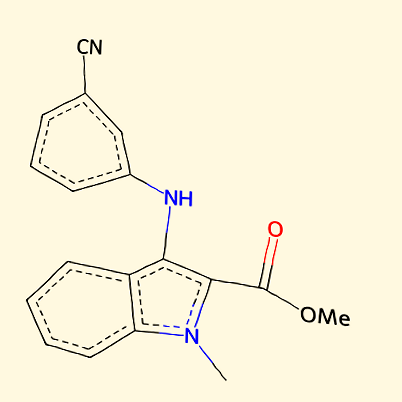 COC(=O)c1c(Nc2cccc(C#N)c2)c2ccccc2n1C